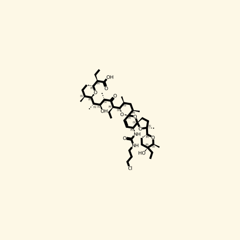 CC[C@@H](C(=O)[C@@H](C)[C@@H](O)[C@H](C)[C@@H]1O[C@@H]([C@@H](CC)C(=O)O)CC[C@@H]1C)[C@H]1O[C@]2(C=C[C@@H](NC(=O)NCCCCl)[C@]3(CC[C@@](C)([C@H]4CC[C@](O)(CC)[C@H](C)O4)O3)O2)[C@H](C)C[C@@H]1C